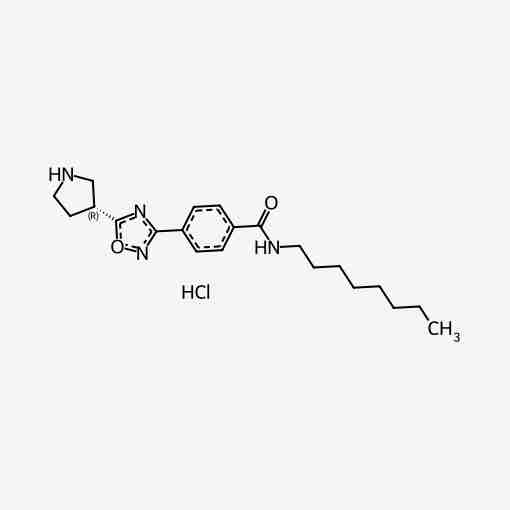 CCCCCCCCNC(=O)c1ccc(-c2noc([C@@H]3CCNC3)n2)cc1.Cl